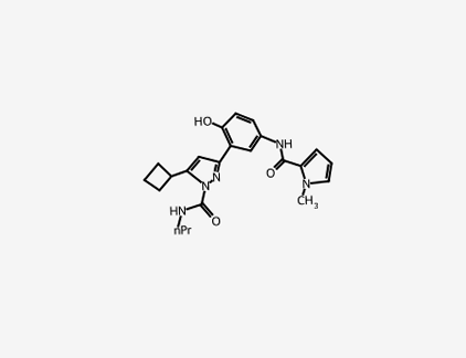 CCCNC(=O)n1nc(-c2cc(NC(=O)c3cccn3C)ccc2O)cc1C1CCC1